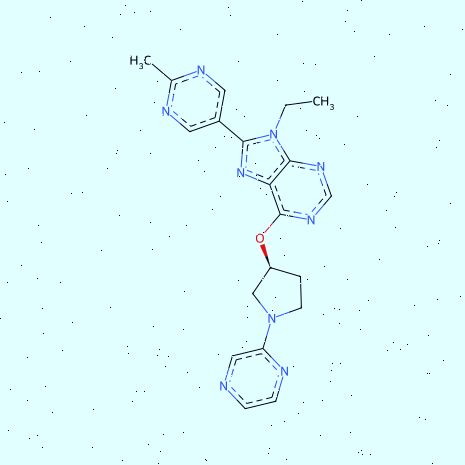 CCn1c(-c2cnc(C)nc2)nc2c(O[C@H]3CCN(c4cnccn4)C3)ncnc21